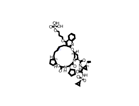 C=C[C@@H]1C[C@]1(NC(=O)[C@@H]1C[C@@H]2CN1C(=O)[C@H](C1CCCC1)NC(=O)O[C@@H]1CCC[C@H]1CC/C=C/Cc1c(nc3ccccc3c1OCCCOP(=O)(O)O)O2)C(=O)NS(=O)(=O)C1CC1